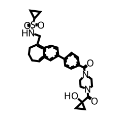 O=C(c1ccc(-c2ccc3c(c2)=CCCCC=3CNS(=O)(=O)C2CC2)cc1)N1CCN(C(=O)C2(O)CC2)CC1